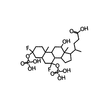 CC(CCC(=O)O)C1CCC2C3C(CC(O)C12C)C1(C)CCC(F)(OP(=O)(O)O)CC1CC3(F)OP(=O)(O)O